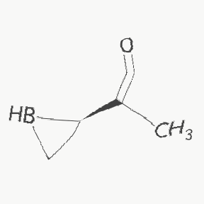 CC(=O)[C@@H]1BC1